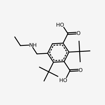 CCNCc1cc(C(=O)O)c(C(C)(C)C)c(C(=O)O)c1C(C)(C)C